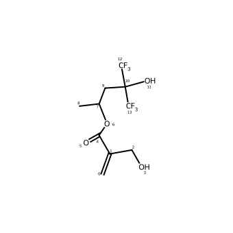 C=C(CO)C(=O)OC(C)CC(O)(C(F)(F)F)C(F)(F)F